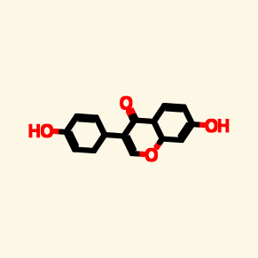 O=C1C(C2C=CC(O)=CC2)=COC2C=C(O)C=CC12